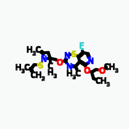 C=C(C)CSN1C(=C)CC1(C)COC1=NSc2c(F)cnc(OC(CC)COC)c2C(C)=N1